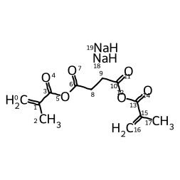 C=C(C)C(=O)OC(=O)CCC(=O)OC(=O)C(=C)C.[NaH].[NaH]